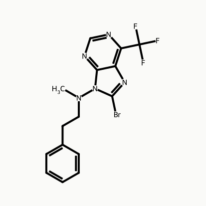 CN(CCc1ccccc1)n1c(Br)nc2c(C(F)(F)F)ncnc21